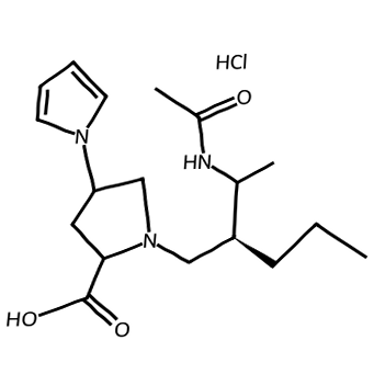 CCC[C@@H](CN1CC(n2cccc2)CC1C(=O)O)C(C)NC(C)=O.Cl